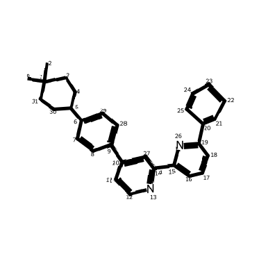 CC1(C)CCC(c2ccc(-c3ccnc(-c4cccc(-c5ccccc5)n4)c3)cc2)CC1